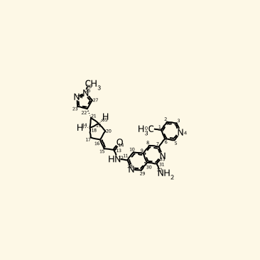 Cc1ccncc1-c1cc2cc(NC(=O)/C=C3/C[C@@H]4[C@H](C3)[C@H]4c3cnn(C)c3)ncc2c(N)n1